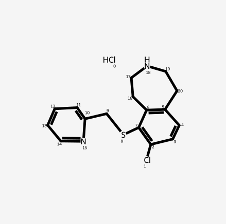 Cl.Clc1ccc2c(c1SCc1ccccn1)CCNCC2